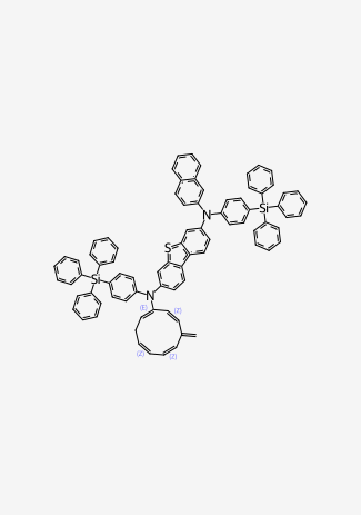 C=C1/C=C\C=C/C/C=C(N(c2ccc([Si](c3ccccc3)(c3ccccc3)c3ccccc3)cc2)c2ccc3c(c2)sc2cc(N(c4ccc([Si](c5ccccc5)(c5ccccc5)c5ccccc5)cc4)c4ccc5ccccc5c4)ccc23)\C=C/1